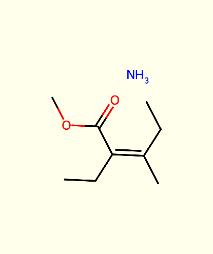 CCC(C)=C(CC)C(=O)OC.N